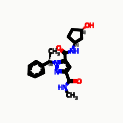 CNC(=O)c1cc(C(=O)N[C@H]2CC[C@H](O)C2)n([C@@H](C)c2ccccc2)n1